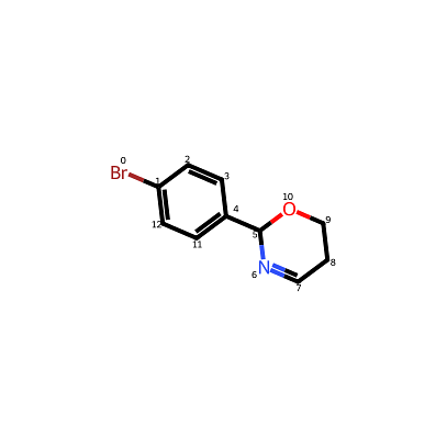 Brc1ccc(C2N=CCCO2)cc1